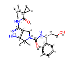 CC1(C)c2[nH]nc(NC(=O)C3([Si](C)(C)C)CC3)c2CN1C(=O)N[C@H](CCO)c1ccccc1